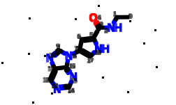 CCNC(=O)c1cc(-n2cnc3cncnc32)c[nH]1